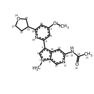 COc1cc(-c2cn(C)c3cnc(NC(C)=O)cc23)nc(C2CCOC2)c1